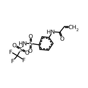 C=CC(=O)Nc1cccc(S(=O)(=O)NS(=O)(=O)C(F)(F)F)c1